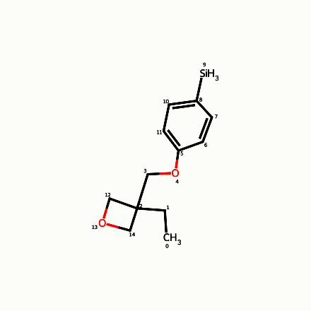 CCC1(COc2ccc([SiH3])cc2)COC1